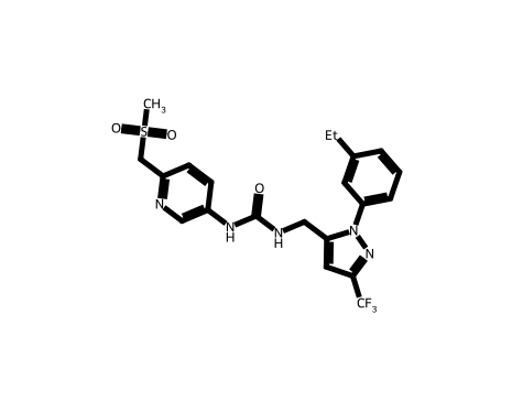 CCc1cccc(-n2nc(C(F)(F)F)cc2CNC(=O)Nc2ccc(CS(C)(=O)=O)nc2)c1